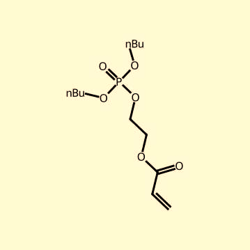 C=CC(=O)OCCOP(=O)(OCCCC)OCCCC